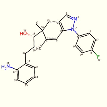 CCC1=Cc2c(cnn2-c2ccc(F)cc2)CC1(C)[C@@H](O)CCc1ccccc1N